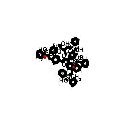 CCC(O)C(O)C(CC(C)(C)[Si](O)(c1ccccc1)c1ccccc1)C(O)Oc1c(-c2ccc(CC(C)(C)[Si](O)(c3ccccc3)c3ccccc3)cc2)oc2cc(CC(C)(C)[Si](O)(c3ccccc3)c3ccccc3)cc(O[Si](c3ccccc3)(c3ccccc3)C(C)(C)C)c2c1=O